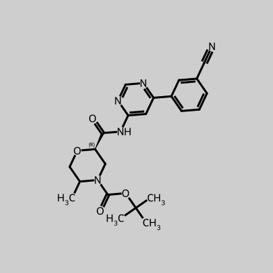 CC1CO[C@@H](C(=O)Nc2cc(-c3cccc(C#N)c3)ncn2)CN1C(=O)OC(C)(C)C